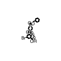 O=C(OCc1ccccc1)N1CCN(S(=O)(=O)c2cc(Br)cc3c(O)ncnc23)CC1